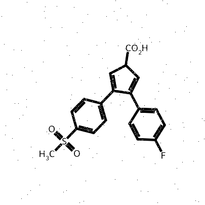 CS(=O)(=O)c1ccc(C2=CC(C(=O)O)C=C2c2ccc(F)cc2)cc1